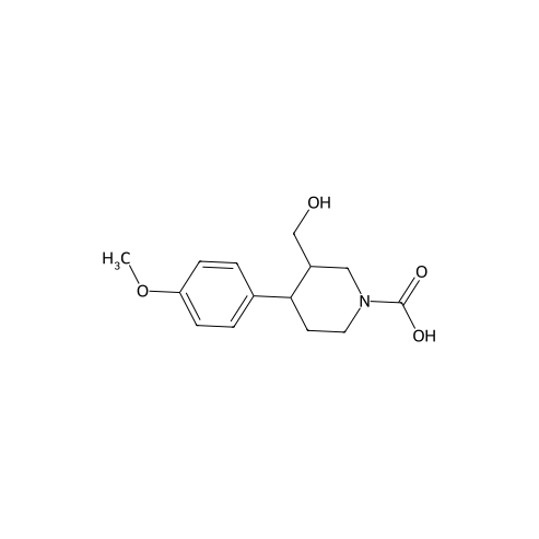 COc1ccc(C2CCN(C(=O)O)CC2CO)cc1